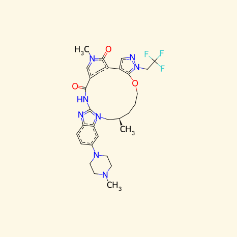 C[C@@H]1CCCOc2c(cnn2CC(F)(F)F)-c2cc(cn(C)c2=O)C(=O)Nc2nc3ccc(N4CCN(C)CC4)cc3n2C1